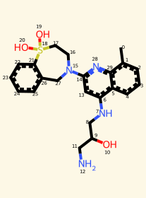 Cc1cccc2c(NCC(O)CN)cc(N3CCS(O)(O)c4ccccc4C3)nc12